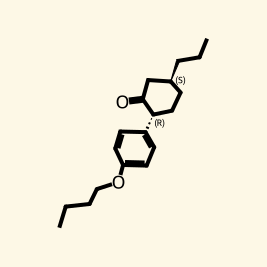 CCCCOc1ccc([C@H]2CC[C@H](CCC)CC2=O)cc1